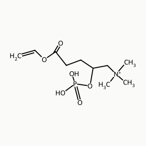 C=COC(=O)CCC(C[N+](C)(C)C)OP(=O)(O)O